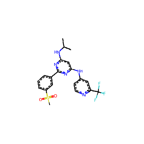 CC(C)Nc1cc(Nc2ccnc(C(F)(F)F)c2)nc(-c2cccc(S(C)(=O)=O)c2)n1